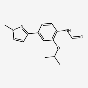 CC(C)Oc1cc(-c2ccn(C)n2)ccc1NC=O